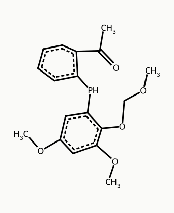 COCOc1c(OC)cc(OC)cc1Pc1ccccc1C(C)=O